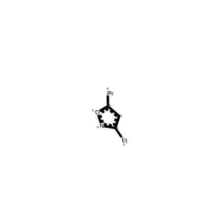 CCc1cc(C(C)C)on1